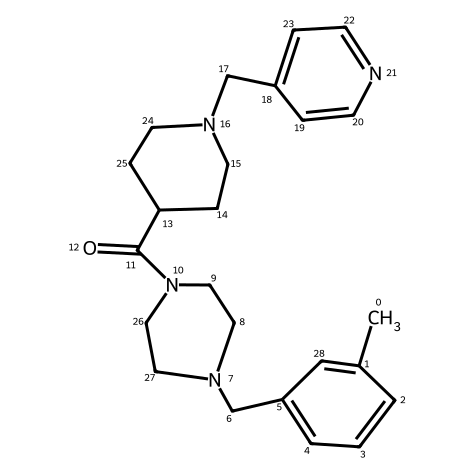 Cc1cccc(CN2CCN(C(=O)C3CCN(Cc4ccncc4)CC3)CC2)c1